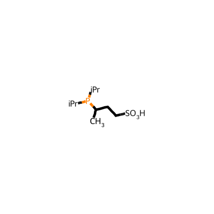 CC(C)P(C(C)C)C(C)CCS(=O)(=O)O